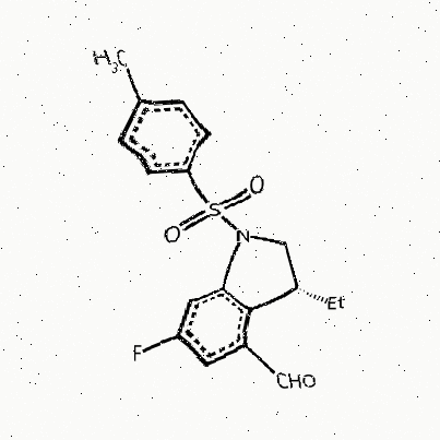 CC[C@H]1CN(S(=O)(=O)c2ccc(C)cc2)c2cc(F)cc(C=O)c21